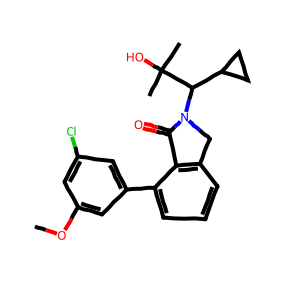 COc1cc(Cl)cc(-c2cccc3c2C(=O)N(C(C2CC2)C(C)(C)O)C3)c1